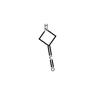 O=C=C1CNC1